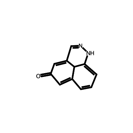 O=C1C=C2C=CC=C3NN=CC(=C1)C23